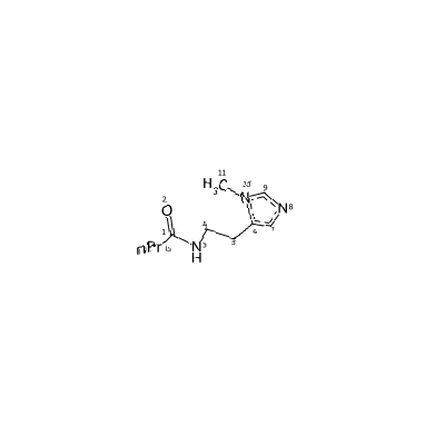 CCCC(=O)NCCc1cncn1C